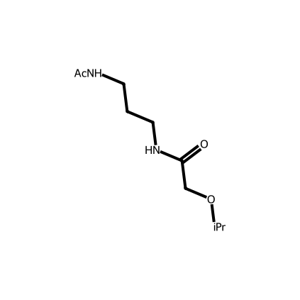 CC(=O)NCCCNC(=O)COC(C)C